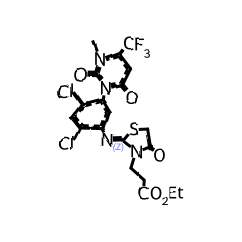 CCOC(=O)CCN1C(=O)CS/C1=N\c1cc(-n2c(=O)cc(C(F)(F)F)n(C)c2=O)c(Cl)cc1Cl